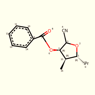 CC(C)[C@H]1OC(C#N)[C@H](OC(=O)c2ccccc2)[C@@H]1C